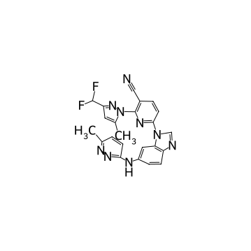 Cc1ccc(Nc2ccc3ncn(-c4ccc(C#N)c(-n5nc(C(F)F)cc5C)n4)c3c2)nn1